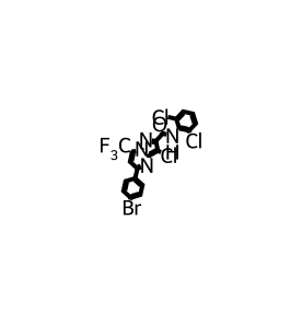 O=C(Nc1c(Cl)cccc1Cl)c1nn2c(C(F)(F)F)cc(-c3ccc(Br)cc3)nc2c1Cl